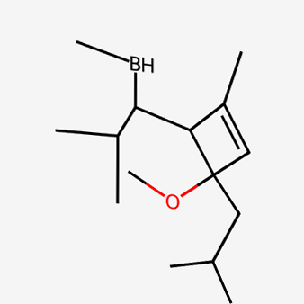 CBC(C(C)C)C1C(C)=CC1(CC(C)C)OC